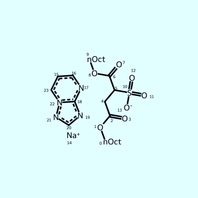 CCCCCCCCOC(=O)CC(C(=O)OCCCCCCCC)S(=O)(=O)[O-].[Na+].c1cnc2ncnn2c1